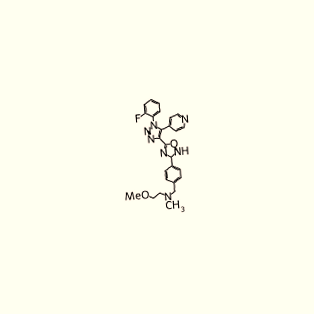 COCCN(C)Cc1ccc(C2N=C(c3nnn(-c4ccccc4F)c3-c3ccncc3)ON2)cc1